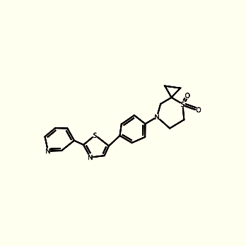 O=S1(=O)CCN(c2ccc(-c3cnc(-c4cccnc4)s3)cc2)CC12CC2